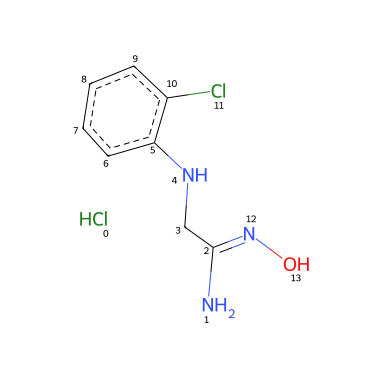 Cl.NC(CNc1ccccc1Cl)=NO